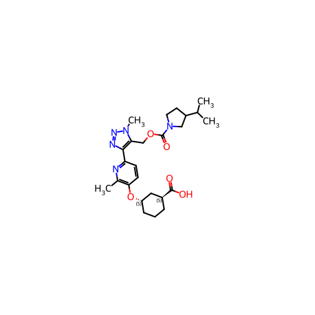 Cc1nc(-c2nnn(C)c2COC(=O)N2CCC(C(C)C)C2)ccc1O[C@H]1CCC[C@H](C(=O)O)C1